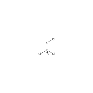 ClS[PH2](Cl)Cl